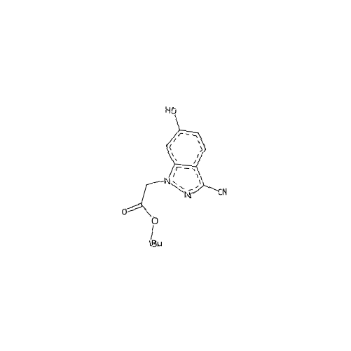 CC(C)(C)OC(=O)Cn1nc(C#N)c2ccc(O)cc21